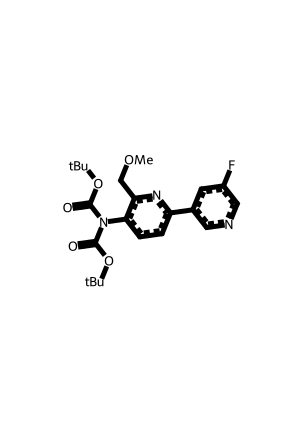 COCc1nc(-c2cncc(F)c2)ccc1N(C(=O)OC(C)(C)C)C(=O)OC(C)(C)C